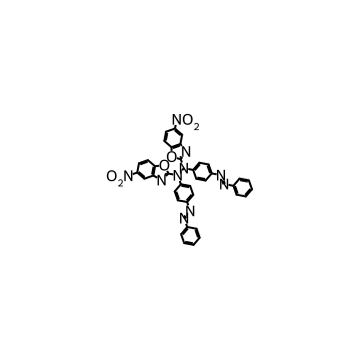 O=[N+]([O-])c1ccc2oc(N(c3ccc(N=Nc4ccccc4)cc3)N(c3ccc(N=Nc4ccccc4)cc3)c3nc4cc([N+](=O)[O-])ccc4o3)nc2c1